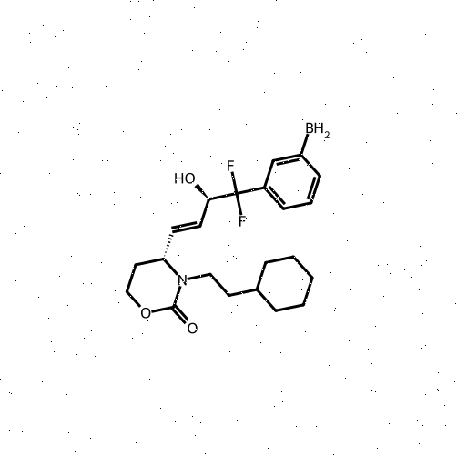 Bc1cccc(C(F)(F)[C@H](O)/C=C/[C@H]2CCOC(=O)N2CCC2CCCCC2)c1